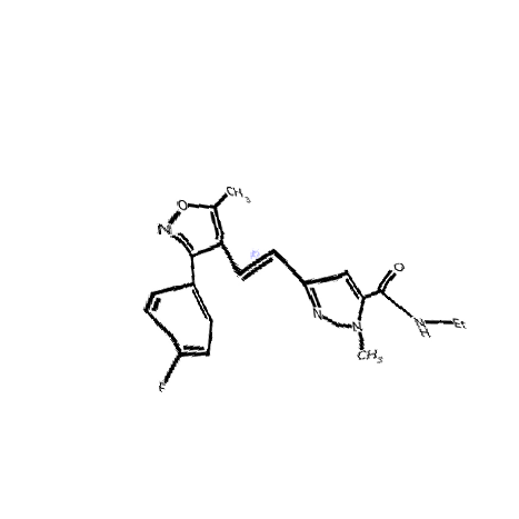 CCNC(=O)c1cc(/C=C/c2c(-c3ccc(F)cc3)noc2C)nn1C